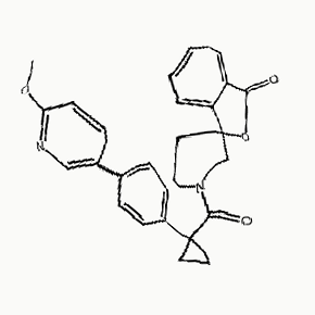 COc1ccc(-c2ccc(C3(C(=O)N4CCC5(C4)OC(=O)c4ccccc45)CC3)cc2)cn1